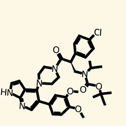 COc1ccc(-c2cnc3[nH]ccc3c2N2CCN(C(=O)[C@H](CN(C(=O)OC(C)(C)C)C(C)C)c3ccc(Cl)cc3)CC2)cc1OC